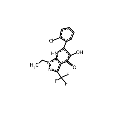 CCn1nc(C(F)(F)F)c2c(=O)c(O)c(-c3ccccc3Cl)[nH]c21